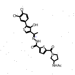 CC(=O)NC1CCN(C(=O)c2ccc(C(=O)N/N=C(\C)c3csc(-c4ccc(Cl)c(Cl)c4)c3O)s2)C1